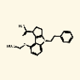 NC(=O)C1CCc2c1c1c(OCC(=O)O)cccc1n2CCc1ccccc1